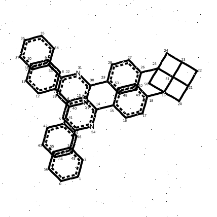 c1ccc(-c2cc(-c3ccccc3)nc(-c3ccc(C45CC6CC7CC(c8ccc(-c9nc(-c%10ccccc%10)cc(-c%10ccccc%10)n9)cc8)(C4)C675)cc3)n2)cc1